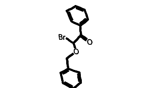 O=C(c1ccccc1)C(Br)OCc1ccccc1